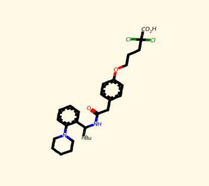 CCCCC(NC(=O)Cc1ccc(OCCCC(Cl)(Cl)C(=O)O)cc1)c1ccccc1N1CCCCC1